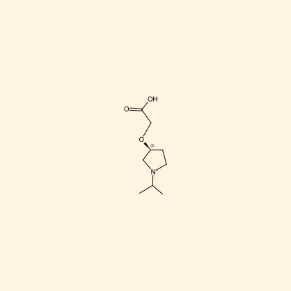 CC(C)N1CC[C@H](OCC(=O)O)C1